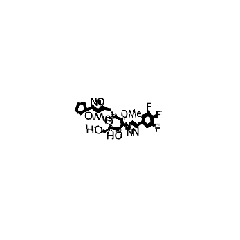 CO[C@@H]1[C@@H](n2cc(-c3cc(F)c(F)c(F)c3)nn2)[C@@H](O)[C@@H](CO)O[C@@H]1Cc1cc(C2(OC)CCCC2)no1